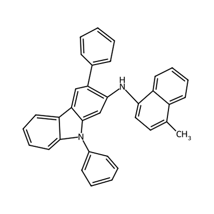 Cc1ccc(Nc2cc3c(cc2-c2ccccc2)c2ccccc2n3-c2ccccc2)c2ccccc12